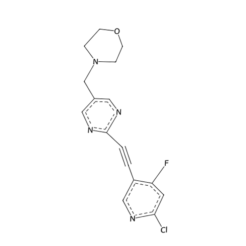 Fc1cc(Cl)ncc1C#Cc1ncc(CN2CCOCC2)cn1